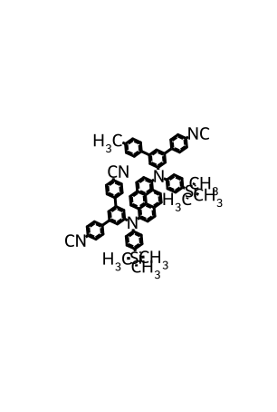 [C-]#[N+]c1ccc(-c2cc(-c3ccc(C)cc3)cc(N(c3ccc([Si](C)(C)C)cc3)c3ccc4ccc5c(N(c6ccc([Si](C)(C)C)cc6)c6cc(-c7ccc(C#N)cc7)cc(-c7ccc([N+]#[C-])cc7)c6)ccc6ccc3c4c65)c2)cc1